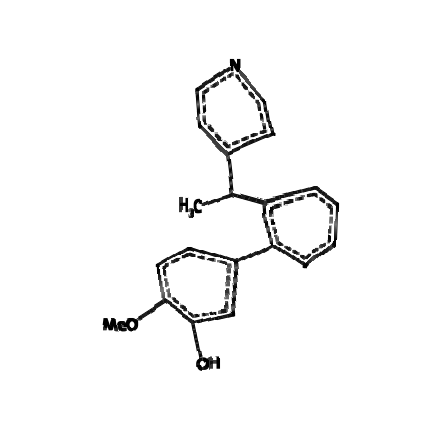 COc1ccc(-c2ccccc2C(C)c2ccncc2)cc1O